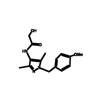 COc1ccc(Cn2nc(C)c(NC(=O)CO)c2C)cc1